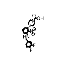 O=C(O)N1CCN(c2cccc(NCc3ccc(F)c(F)c3)c2[N+](=O)[O-])CC1